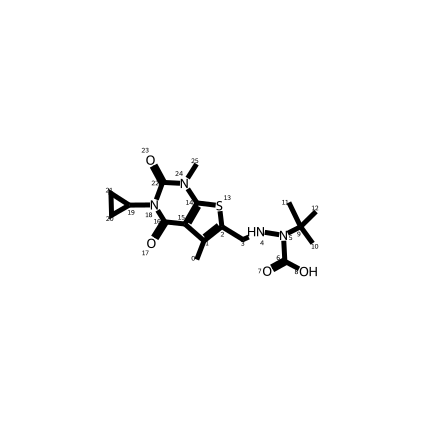 Cc1c(CNN(C(=O)O)C(C)(C)C)sc2c1c(=O)n(C1CC1)c(=O)n2C